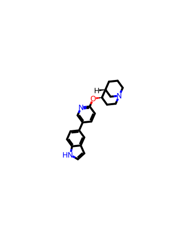 c1cc2cc(-c3ccc(O[C@@H]4CCN5CCC[C@@H]4C5)nc3)ccc2[nH]1